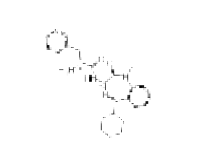 CN1C(=O)[C@H](NC(=O)[C@H](N)Cc2ccccc2)N=C(C2CCCCC2)c2ccccc21